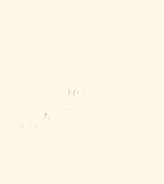 O=C(O)c1ccc(CCCN2C(=O)CCC[C@@H]2C=C[C@@H](O)Cc2ccccc2)s1